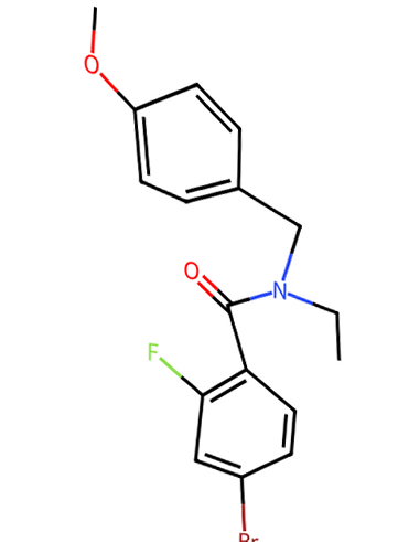 CCN(Cc1ccc(OC)cc1)C(=O)c1ccc(Br)cc1F